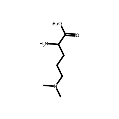 CC(C)COC(=O)C(N)CCCN(C)C